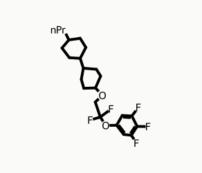 CCCC1CCC(C2CCC(OCC(F)(F)Oc3cc(F)c(F)c(F)c3)CC2)CC1